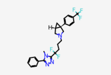 Cn1c(-c2ccccc2)nnc1C(F)(F)CCCN1C[C@@H]2C[C@]2(c2ccc(C(F)(F)F)cc2)C1